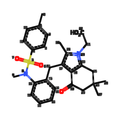 Cc1ccc(S(=O)(=O)N(C)c2ccccc2Cc2c3c(n(CC(=O)O)c2C)CC(C)(C)CC3=O)cc1